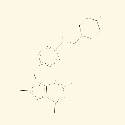 CCc1nc2c(C)cc(C)nc2n1Cc1ccc(NCC2CCC(O)CC2)cc1